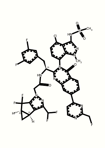 Cn1nc(NS(C)(=O)=O)c2c(Cl)ccc(-n3c([C@H](Cc4cc(F)cc(F)c4)NC(=O)Cn4nc(C(F)F)c5c4C(F)(F)[C@@H]4C[C@H]54)nc4cc(-c5ccnc(CF)n5)ccc4c3=O)c21